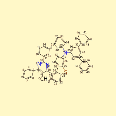 Cc1c(-c2ccccc2)nc(-c2ccccc2)nc1-c1cccc2sc3cc(N(c4ccccc4)c4cc(-c5ccccc5)cc(-c5ccccc5)c4)ccc3c12